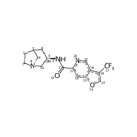 O=C(N[C@@H]1CC2CCN(C2)C1)c1cc2occ(C(F)(F)F)c2cn1